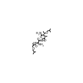 CC(C)COC[C@@H](C)C(=O)N[C@H](N)C(=O)NCC(=O)N(C)[C@H](C(N)=O)C(C)OCC(C)C